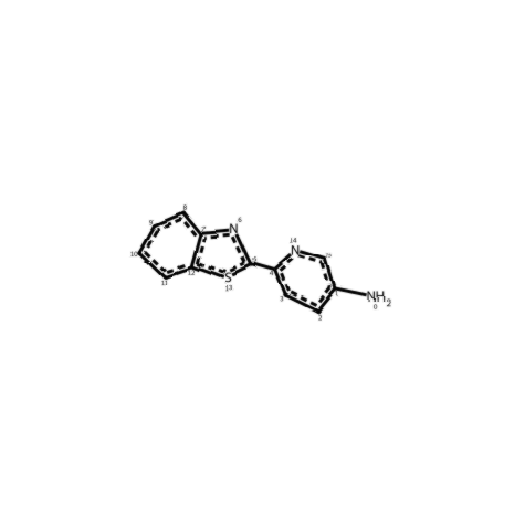 Nc1ccc(-c2nc3ccccc3s2)nc1